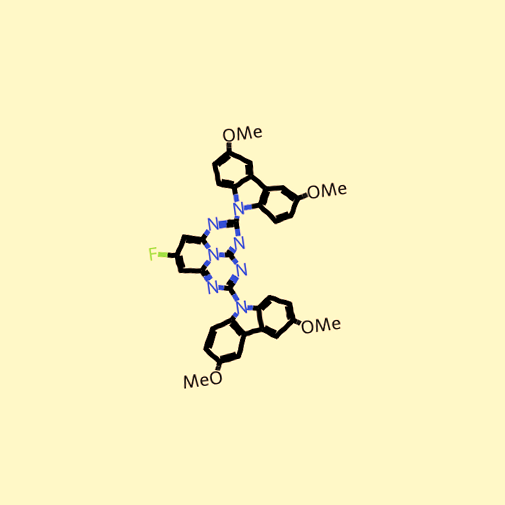 COc1ccc2c(c1)c1cc(OC)ccc1n2C1=NC2=CC(F)=CC3=NC(n4c5ccc(OC)cc5c5cc(OC)ccc54)=NC(=N1)N23